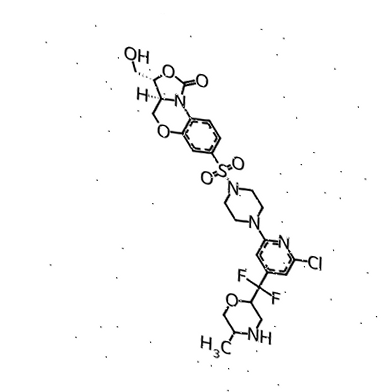 CC1COC(C(F)(F)c2cc(Cl)nc(N3CCN(S(=O)(=O)c4ccc5c(c4)OC[C@H]4[C@H](CO)OC(=O)N54)CC3)c2)CN1